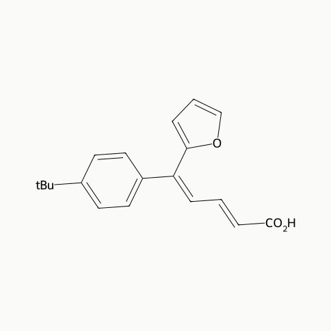 CC(C)(C)c1ccc(C(=CC=CC(=O)O)c2ccco2)cc1